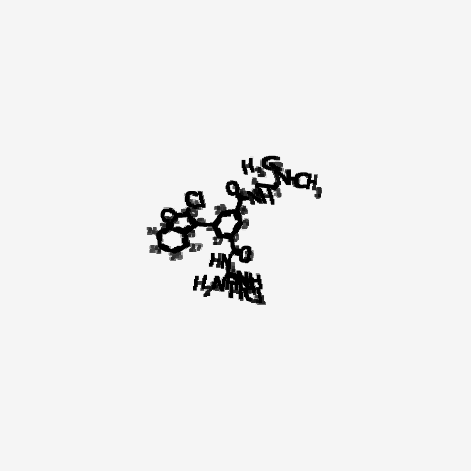 CN(C)CCNC(=O)c1cc(C(=O)NC(=N)N)cc(-c2c(Cl)oc3ccccc23)c1.Cl.Cl